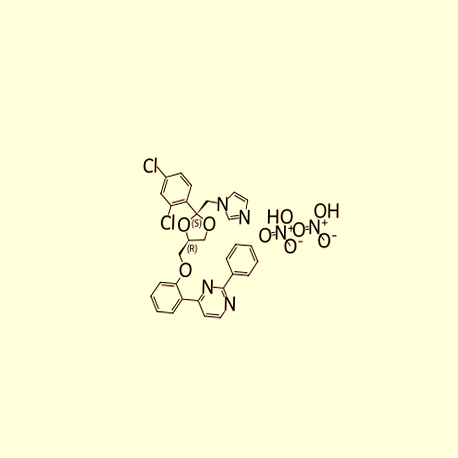 Clc1ccc([C@]2(Cn3ccnc3)OC[C@@H](COc3ccccc3-c3ccnc(-c4ccccc4)n3)O2)c(Cl)c1.O=[N+]([O-])O.O=[N+]([O-])O